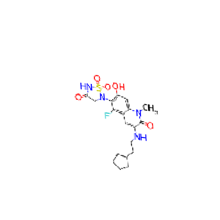 Cn1c(=O)c(NCCC2CCCC2)cc2c(F)c(N3CC(=O)NS3(=O)=O)c(O)cc21